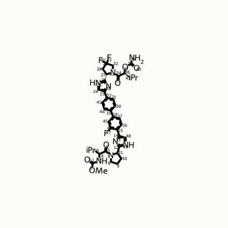 COC(=O)NC(C(=O)N1CCCC1c1nc(-c2ccc(-c3ccc(-c4c[nH]c([C@@H]5CC(F)(F)CN5C(=O)[C@@H](OC(N)=O)C(C)C)n4)cc3)cc2F)c[nH]1)C(C)C